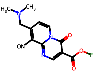 CN(C)Cc1ccn2c(=O)c(C(=O)OF)cnc2c1N=O